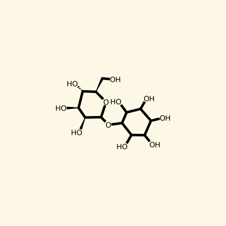 OC[C@H]1OC(OC2C(O)C(O)C(O)C(O)C2O)[C@@H](O)[C@@H](O)[C@@H]1O